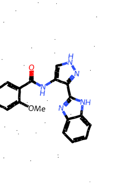 COc1ccccc1C(=O)Nc1c[nH]nc1-c1nc2ccccc2[nH]1